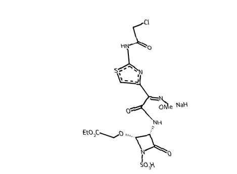 CCOC(=O)CO[C@@H]1[C@H](NC(=O)C(=NOC)c2csc(NC(=O)CCl)n2)C(=O)N1S(=O)(=O)O.[NaH]